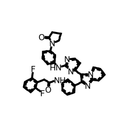 O=C(Cc1c(F)cccc1F)Nc1cccc(-c2nc3ccccn3c2-c2ccnc(Nc3cccc(N4CCCC4=O)c3)n2)c1